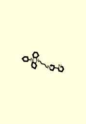 c1ccc(N2c3ccccc3N(CCCC[n+]3ccc(-c4ccccn4)cc3)c3ccccc32)cc1